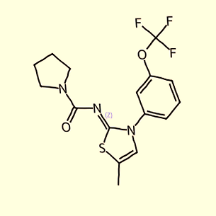 Cc1cn(-c2cccc(OC(F)(F)F)c2)/c(=N/C(=O)N2CCCC2)s1